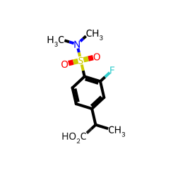 CC(C(=O)O)c1ccc(S(=O)(=O)N(C)C)c(F)c1